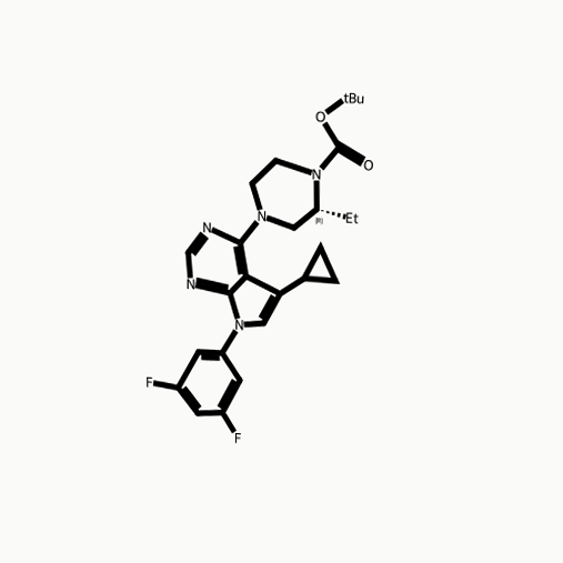 CC[C@@H]1CN(c2ncnc3c2c(C2CC2)cn3-c2cc(F)cc(F)c2)CCN1C(=O)OC(C)(C)C